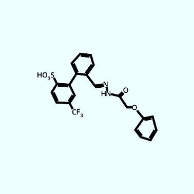 O=C(COc1ccccc1)N/N=C/c1ccccc1-c1cc(C(F)(F)F)ccc1S(=O)(=O)O